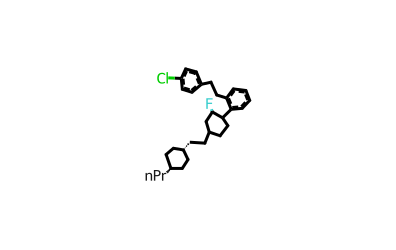 CCC[C@H]1CC[C@H](CCC2CCC(c3ccccc3CCc3ccc(Cl)cc3)C(F)C2)CC1